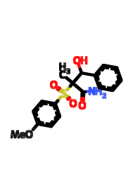 COc1ccc(S(=O)(=O)C(C)(C(N)=O)C(O)c2ccccc2)cc1